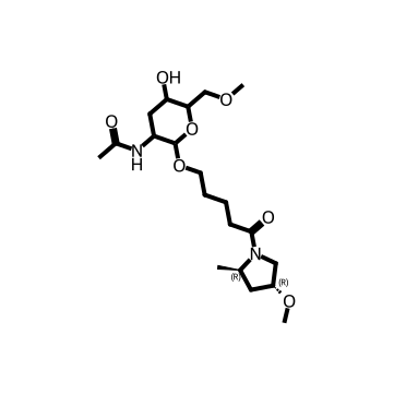 COCC1OC(OCCCCC(=O)N2C[C@H](OC)C[C@H]2C)C(NC(C)=O)CC1O